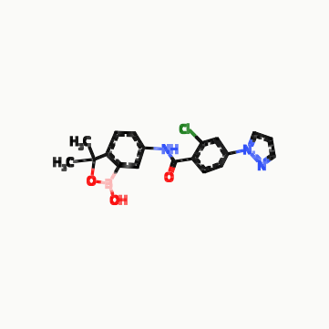 CC1(C)OB(O)c2cc(NC(=O)c3ccc(-n4cccn4)cc3Cl)ccc21